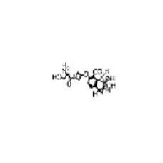 C[C@@](N)(CO)C(=O)N1CC(Oc2ccc3c(c2C(=O)O)O[B-](O)(O)[C@@H]2C[C@H]32)C1